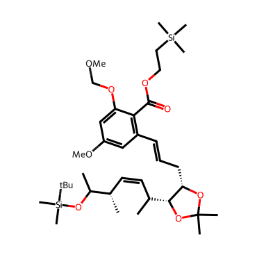 COCOc1cc(OC)cc(/C=C/C[C@@H]2OC(C)(C)O[C@@H]2C(C)/C=C\[C@H](C)C(C)O[Si](C)(C)C(C)(C)C)c1C(=O)OCC[Si](C)(C)C